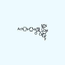 CC(=O)N1CCN(c2ccc(-n3cnn([C@H](C)[C@](O)(Cn4cncn4)c4ccc(F)cc4F)c3=O)cc2)CC1